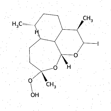 C[C@H]1C(I)O[C@@H]2O[C@](C)(OO)CC[C@@H]3C2C1CC[C@H]3C